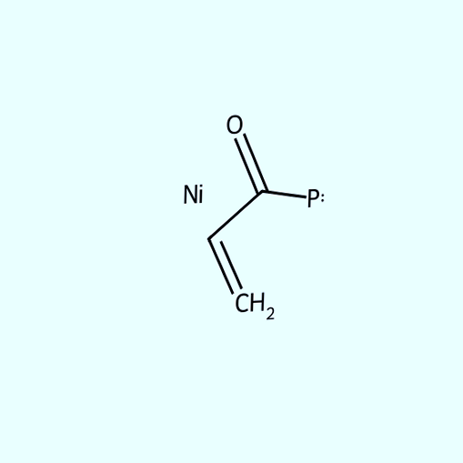 C=CC(=O)[P].[Ni]